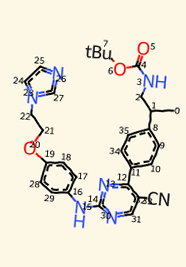 CC(CNC(=O)OC(C)(C)C)c1ccc(-c2nc(Nc3ccc(OCCn4ccnc4)cc3)ncc2C#N)cc1